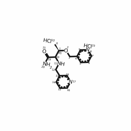 C[C@@H](OCc1cccnc1)C(NCc1cccnc1)C(N)=O.Cl.Cl